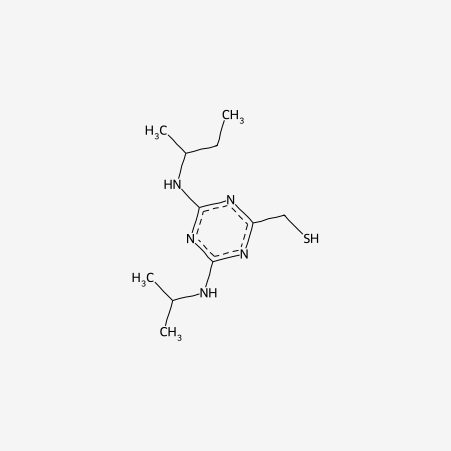 CCC(C)Nc1nc(CS)nc(NC(C)C)n1